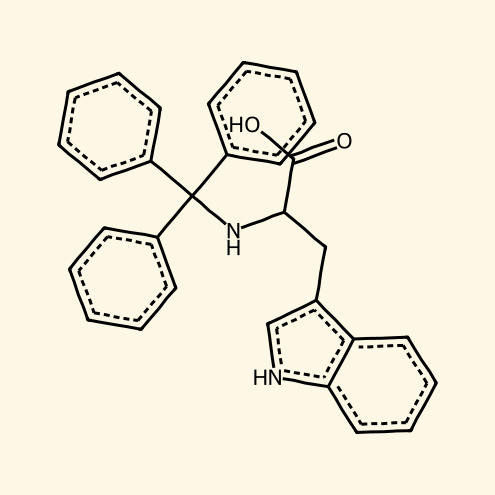 O=C(O)C(Cc1c[nH]c2ccccc12)NC(c1ccccc1)(c1ccccc1)c1ccccc1